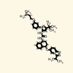 CC(C)c1nnc2ccc(O[C@@H]3CC[C@H](NC(=O)Nc4cc(C(C)(C)C)nn4-c4cccc(OCCN(C)C)c4)c4ccccc43)cn12